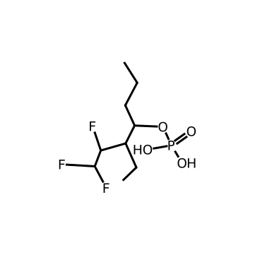 CCCC(OP(=O)(O)O)C(CC)C(F)C(F)F